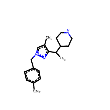 COc1ccc(Cn2cc(C)c(C(C)C3CCNCC3)n2)cc1